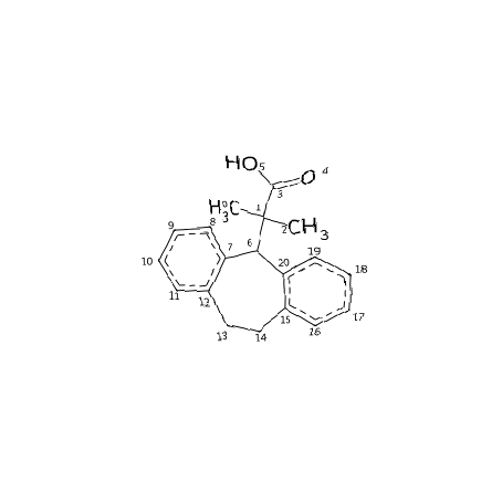 CC(C)(C(=O)O)C1c2ccccc2CCc2ccccc21